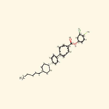 CCCCC[C@H]1CC[C@H](c2ccc(-c3ccc(C(=O)Oc4ccc(F)c(Cl)c4)cc3)cc2)CC1